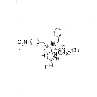 C[N+]1=C[C@@H]2C[C@H]3CN(Cc4ccc([N+](=O)[O-])cc4)[C@@H]([C@@H]2CCC(=O)OC(C)(C)C)[C@]31C(=O)NCc1ccccc1.[I-]